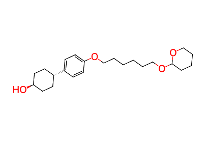 O[C@H]1CC[C@H](c2ccc(OCCCCCCOC3CCCCO3)cc2)CC1